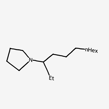 CCCCCCCCCC(CC)N1CCCC1